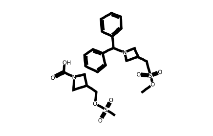 COS(=O)(=O)CC1CN(C(c2ccccc2)c2ccccc2)C1.CS(=O)(=O)OCC1CN(C(=O)O)C1